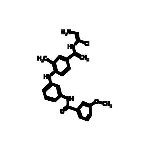 C=C(N/C(Cl)=C\N)c1ccc(Nc2cccc(NC(=O)c3cccc(OC)c3)c2)c(C)c1